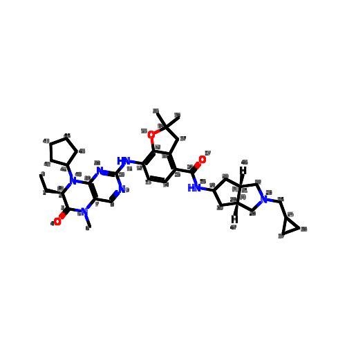 CC[C@@H]1C(=O)N(C)c2cnc(Nc3ccc(C(=O)NC4C[C@@H]5CN(CC6CC6)C[C@@H]5C4)c4c3OC(C)(C)C4)nc2N1C1CCCC1